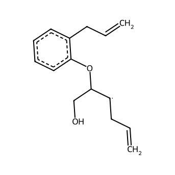 C=CC[CH]C(CO)Oc1ccccc1CC=C